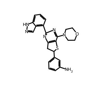 Nc1cccc(C2Cc3nc(-c4cccc5[nH]ncc45)nc(N4CCOCC4)c3S2)c1